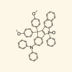 COc1ccc(C2(c3ccc(OC)cc3)C3=C(c4ccc(N(c5ccccc5)c5ccccc5)cc42)P(=O)(c2ccccc2)c2cc4ccccc4cc23)cc1